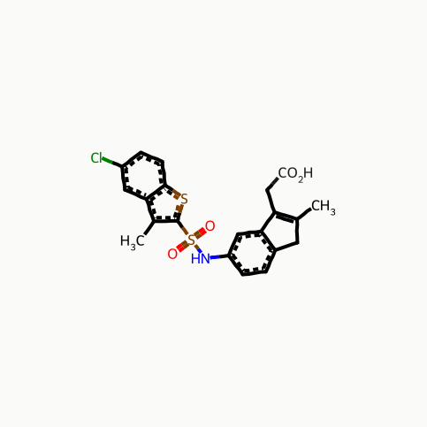 CC1=C(CC(=O)O)c2cc(NS(=O)(=O)c3sc4ccc(Cl)cc4c3C)ccc2C1